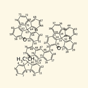 CC1(C)c2ccccc2-c2cccc(-c3c4cccc(-c5cccc6c5Oc5ccccc5C6(c5ccccc5)c5ccccc5)c4cc4c(-c5cccc6c5Oc5ccccc5C6(c5ccccc5)c5ccccc5)cccc34)c21